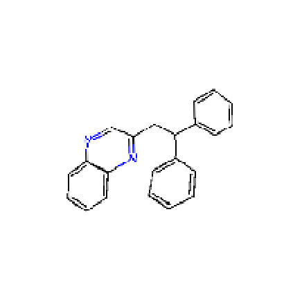 c1ccc(C(Cc2cnc3ccccc3n2)c2ccccc2)cc1